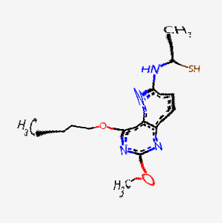 CCCCOc1nc(OC)nc2ccc(NC(C)S)nc12